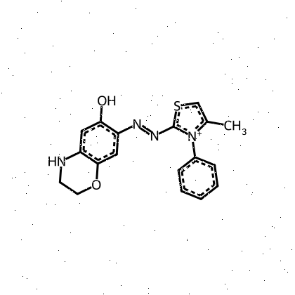 Cc1csc(N=Nc2cc3c(cc2O)NCCO3)[n+]1-c1ccccc1